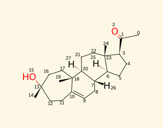 CC(=O)[C@H]1CC[C@H]2[C@@H]3CC=C4CC[C@](C)(O)CC[C@]4(C)[C@H]3CC[C@]12C